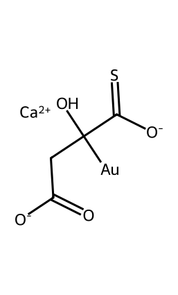 O=C([O-])C[C](O)([Au])C([O-])=S.[Ca+2]